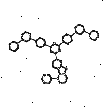 c1ccc(-c2cccc(-c3ccc(-c4nc(-c5ccc(-c6cccc(-c7ccccc7)c6)cc5)nc(-c5ccc6c(c5)oc5cccc(-c7ccccc7)c56)n4)cc3)c2)cc1